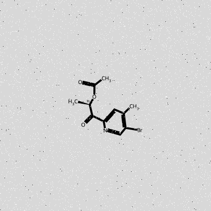 CC(=O)O[C@H](C)C(=O)c1cc(C)c(Br)cn1